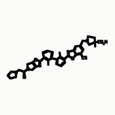 Cc1c(-c2nc3c(o2)CN(C(=O)CN2CCCC2)C3)cccc1-c1cccc(-c2nc3cc(CN4CC[C@@](C)(C(=O)O)C4)cc(C#N)c3o2)c1C